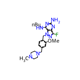 CCCCNc1nc(N)nc2c(F)nn(Cc3ccc(CN4CCN(C)CC4)cc3OC)c12